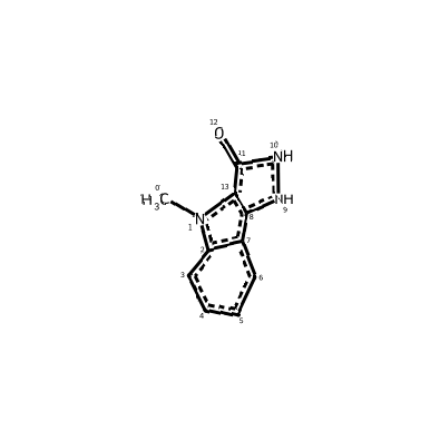 Cn1c2ccccc2c2[nH][nH]c(=O)c21